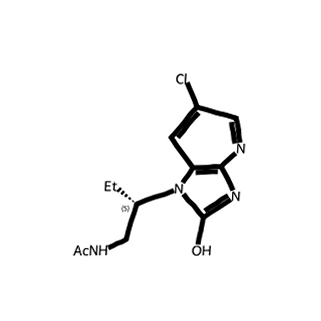 CC[C@@H](CNC(C)=O)n1c(O)nc2ncc(Cl)cc21